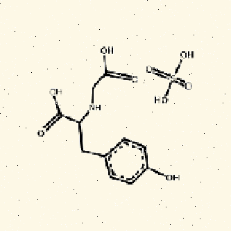 O=C(O)CNC(Cc1ccc(O)cc1)C(=O)O.O=S(=O)(O)O